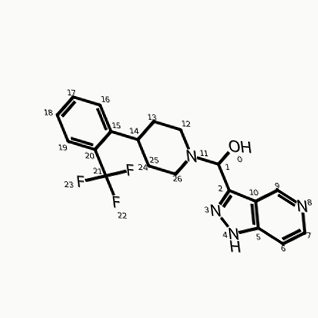 OC(c1n[nH]c2ccncc12)N1CCC(c2ccccc2C(F)(F)F)CC1